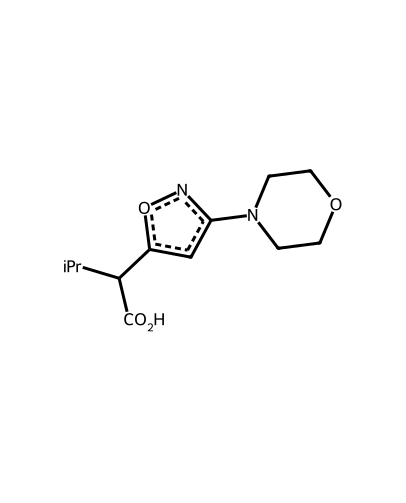 CC(C)C(C(=O)O)c1cc(N2CCOCC2)no1